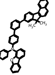 CC1(C)c2cc(-c3cccc(-c4ccc(N(c5ccccc5)c5cccc6c5oc5ccccc56)cc4)c3)ccc2-c2c1ccc1ccccc21